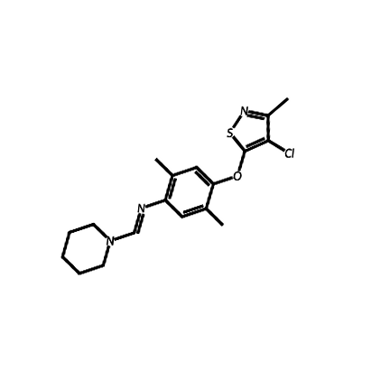 Cc1cc(Oc2snc(C)c2Cl)c(C)cc1N=CN1CCCCC1